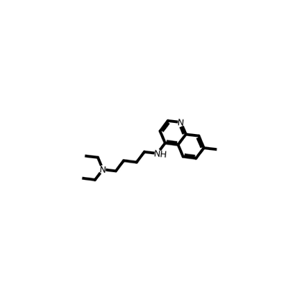 CCN(CC)CCCCNc1ccnc2cc(C)ccc12